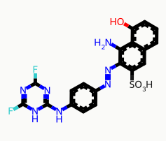 Nc1c(N=Nc2ccc(NC3=NC(F)N=C(F)N3)cc2)c(S(=O)(=O)O)cc2cccc(O)c12